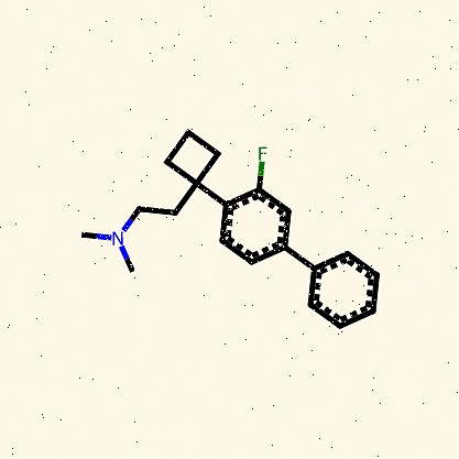 CN(C)CCC1(c2ccc(-c3ccccc3)cc2F)CCC1